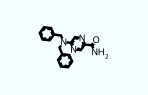 NC(=O)c1cnc(N(Cc2ccccc2)Cc2ccccc2)cn1